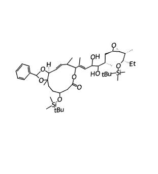 CC[C@H](O[Si](C)(C)C(C)(C)C)[C@@H](C)[C@H]1O[C@@H]1C[C@H](C)C(O)C(O)/C=C(\C)C1OC(=O)CC(O[Si](C)(C)C(C)(C)C)CCC2(C)OC(c3ccccc3)O[C@H]2/C=C/C1C